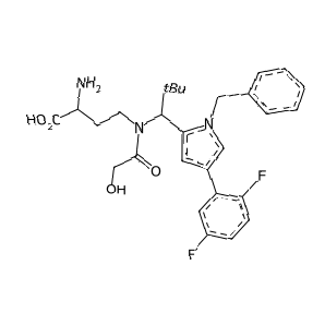 CC(C)(C)C(c1cc(-c2cc(F)ccc2F)cn1Cc1ccccc1)N(CCC(N)C(=O)O)C(=O)CO